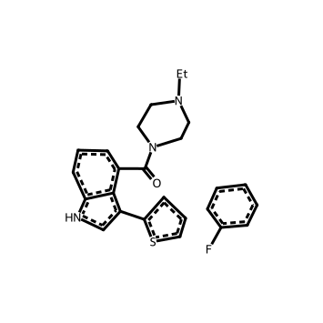 CCN1CCN(C(=O)c2cccc3[nH]cc(-c4cccs4)c23)CC1.Fc1ccccc1